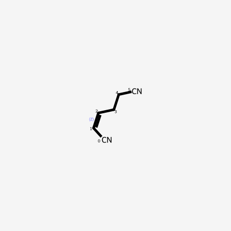 N#C/C=C\CCC#N